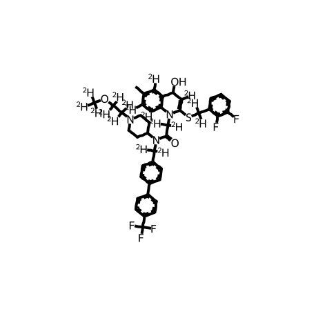 [2H]C1=C(SC([2H])([2H])c2cccc(F)c2F)N(C([2H])([2H])C(=O)N(C2CCN(C([2H])([2H])C([2H])([2H])OC([2H])([2H])[2H])CC2)C([2H])([2H])c2ccc(-c3ccc(C(F)(F)F)cc3)cc2)c2c([2H])c([2H])c(C)c([2H])c2C1O